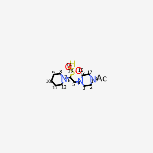 CC(=O)N1CCN(CC(N2CC[CH]CC2)[SH](=O)=O)CC1